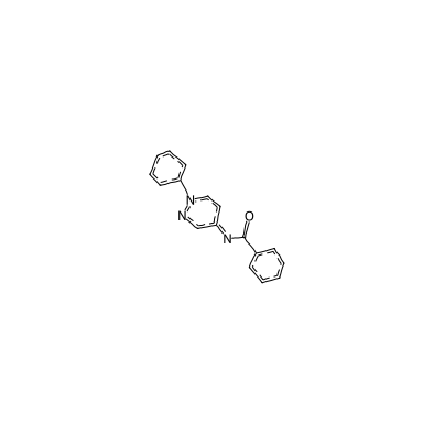 O=C(/N=c1\ccn(-c2ccccc2)nc1)c1ccccc1